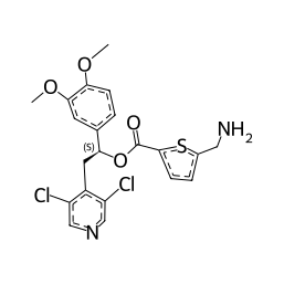 COc1ccc([C@H](Cc2c(Cl)cncc2Cl)OC(=O)c2ccc(CN)s2)cc1OC